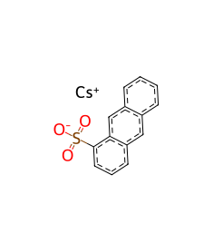 O=S(=O)([O-])c1cccc2cc3ccccc3cc12.[Cs+]